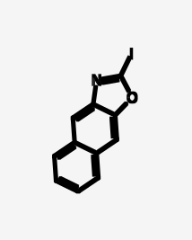 Ic1nc2cc3ccccc3cc2o1